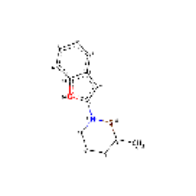 CC1CCCN(c2cc3ccccc3o2)S1